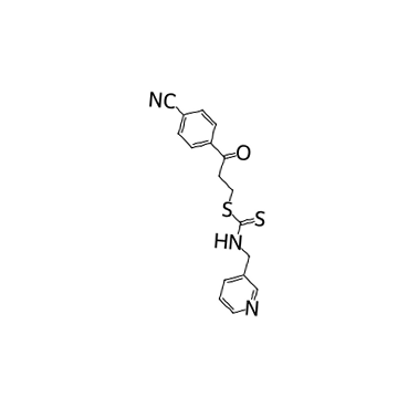 N#Cc1ccc(C(=O)CCSC(=S)NCc2cccnc2)cc1